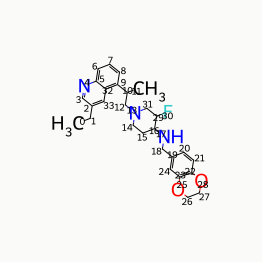 CCc1cnc2cccc(C(C)CN3CCC(NCc4ccc5c(c4)OCCO5)C(F)C3)c2c1